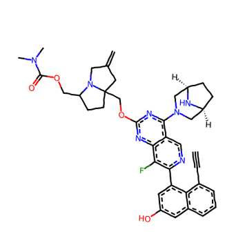 C#Cc1cccc2cc(O)cc(-c3ncc4c(N5C[C@H]6CC[C@@H](C5)N6)nc(OCC56CCC(COC(=O)N(C)C)N5CC(=C)C6)nc4c3F)c12